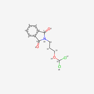 O=C1c2ccccc2C(=O)N1CCCOC(Cl)Cl